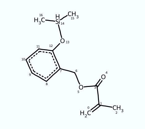 C=C(C)C(=O)OCc1ccccc1O[SiH](C)C